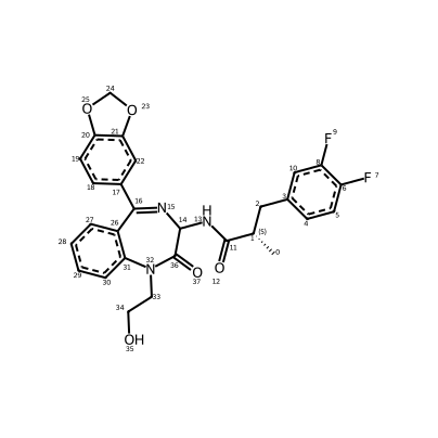 C[C@@H](Cc1ccc(F)c(F)c1)C(=O)NC1N=C(c2ccc3c(c2)OCO3)c2ccccc2N(CCO)C1=O